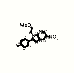 COCCn1c(-c2ccc(C)cc2)cc2cc([N+](=O)[O-])cnc21